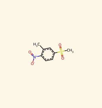 Cc1cc(S(C)(=O)=O)ccc1[N+](=O)[O-]